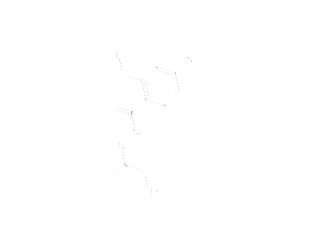 CCOc1cc([N+](=O)[O-])ccc1C(=O)NNC(=O)OC(C)(C)C